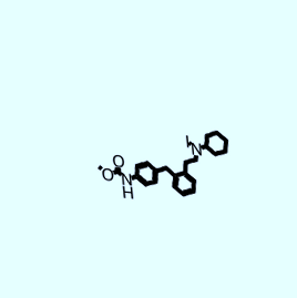 COC(=O)Nc1ccc(Cc2ccccc2CCN(I)C2CCCCC2)cc1